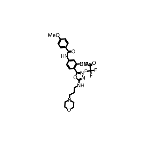 COc1ccc(C(=O)Nc2ccc(-c3nnc(NCCCN4CCOCC4)o3)c(OC)c2)cc1.O=C(O)C(F)(F)F